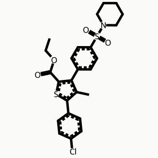 CCOC(=O)c1sc(-c2ccc(Cl)cc2)c(C)c1-c1ccc(S(=O)(=O)N2CCCCC2)cc1